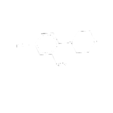 CNc1cc(C(F)(F)F)ccc1N1CCOCC1